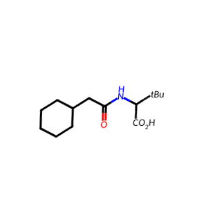 CC(C)(C)C(NC(=O)CC1CCCCC1)C(=O)O